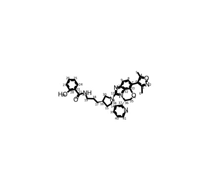 Cc1noc(C)c1-c1ccc2nc(N3CC[C@@H](CCCNC(=O)c4ccccc4O)C3)n3c2c1OC[C@@H]3c1ccccn1